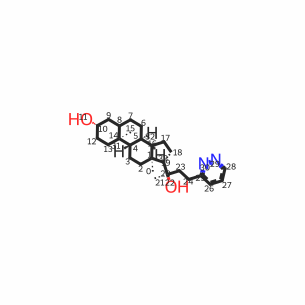 C[C@]12CC[C@H]3[C@@H](CCC4C[C@@H](O)CC[C@@]43C)[C@@H]1CC[C@@H]2[C@](C)(O)CCc1cccnn1